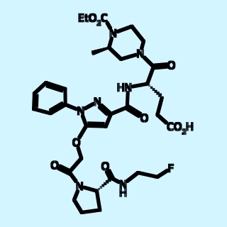 CCOC(=O)N1CCN(C(=O)[C@H](CCC(=O)O)NC(=O)c2cc(OCC(=O)N3CCC[C@H]3C(=O)NCCF)n(-c3ccccc3)n2)C[C@H]1C